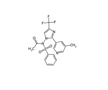 CC(=O)N(n1cc(C(F)(F)F)nc1-c1cncc(C)c1)S(=O)(=O)c1ccccc1